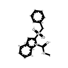 COC(=O)n1c(S(=O)(=O)Cc2ccccc2)cc2ccccc21